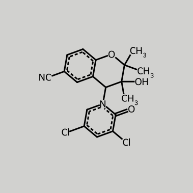 CC1(C)Oc2ccc(C#N)cc2C(n2cc(Cl)cc(Cl)c2=O)C1(C)O